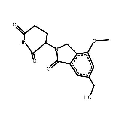 COc1cc(CO)cc2c1CN(C1CCC(=O)NC1=O)C2=O